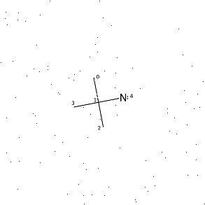 CC(C)(C)[N]